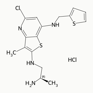 Cc1c(NC[C@@H](C)N)sc2c(NCc3cccs3)cc(Cl)nc12.Cl